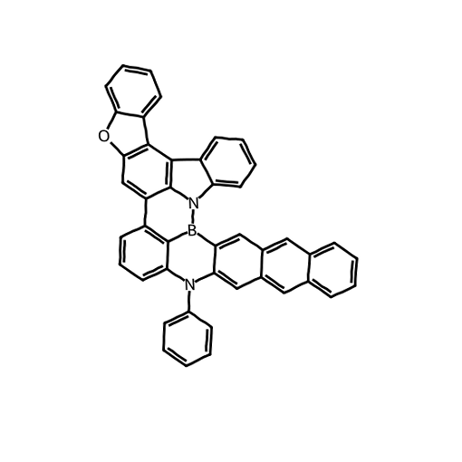 c1ccc(N2c3cc4cc5ccccc5cc4cc3B3c4c(cccc42)-c2cc4oc5ccccc5c4c4c5ccccc5n3c24)cc1